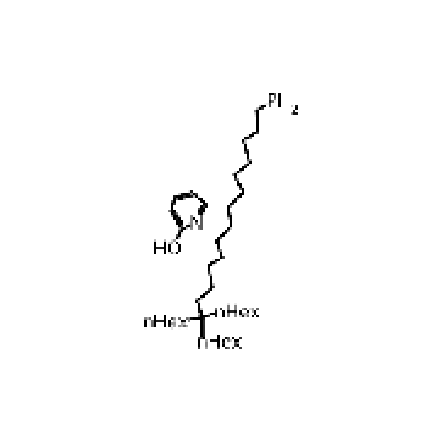 CCCCCCC(CCCCCC)(CCCCCC)CCCCCCCCCCCCCP.Oc1ccccn1